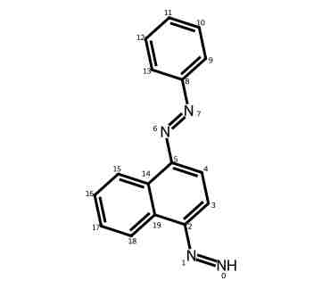 N=Nc1ccc(N=Nc2ccccc2)c2ccccc12